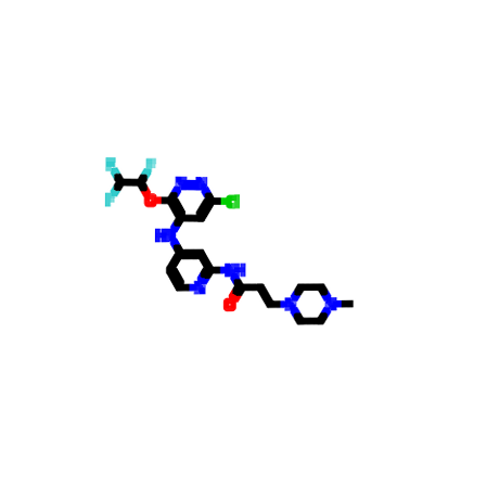 CN1CCN(CCC(=O)Nc2cc(Nc3cc(Cl)nnc3OC(F)C(F)F)ccn2)CC1